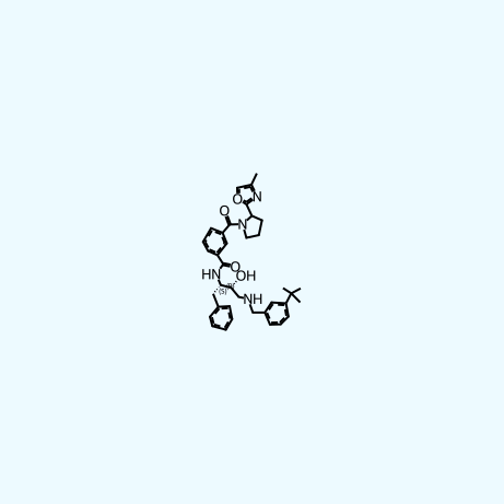 Cc1coc(C2CCCN2C(=O)c2cccc(C(=O)N[C@@H](Cc3ccccc3)[C@H](O)CNCc3cccc(C(C)(C)C)c3)c2)n1